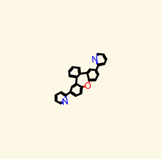 c1ccc(-c2ccc3c(c2)-c2ccccc2-c2cc(-c4ccccn4)ccc2O3)nc1